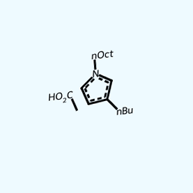 CC(=O)O.CCCCCCCCn1ccc(CCCC)c1